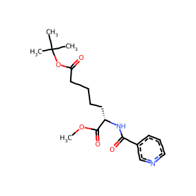 COC(=O)[C@H](CCCCC(=O)OC(C)(C)C)NC(=O)c1cccnc1